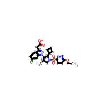 CCOc1ccc(S(=O)(=O)N2C[C@@H](C)[C@@H](n3nc(CC(=O)O)c4ccc(Cl)cc43)C2C2CCC2)nn1